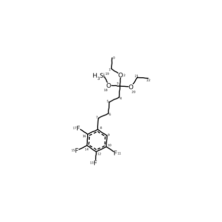 CCOC(CCCCc1cc(F)c(F)c(F)c1F)(O[SiH3])OCC